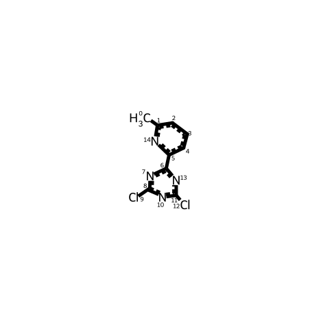 Cc1cccc(-c2nc(Cl)nc(Cl)n2)n1